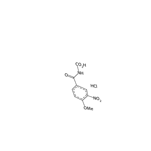 COc1ccc(C(=O)NC(=O)O)cc1[N+](=O)[O-].Cl